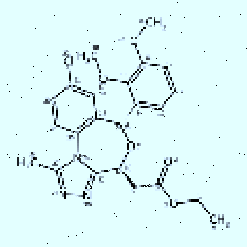 CCOC(=O)C[C@@H]1O[C@@H](c2cccc(OC)c2OC)c2cc(Cl)ccc2-n2c(C)nnc21